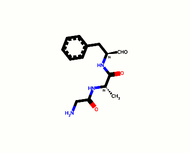 C[C@H](NC(=O)CN)C(=O)N[C@H](C=O)Cc1ccccc1